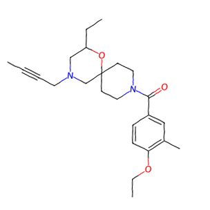 CC#CCN1CC(CC)OC2(CCN(C(=O)c3ccc(OCC)c(C)c3)CC2)C1